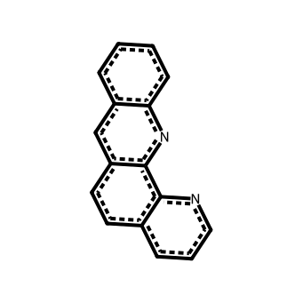 c1ccc2nc3c(ccc4cccnc43)cc2c1